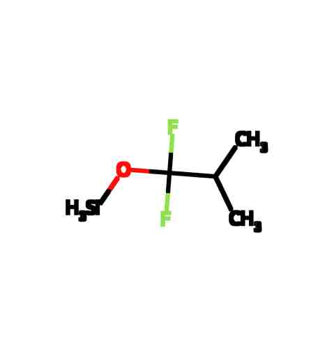 CC(C)C(F)(F)O[SiH3]